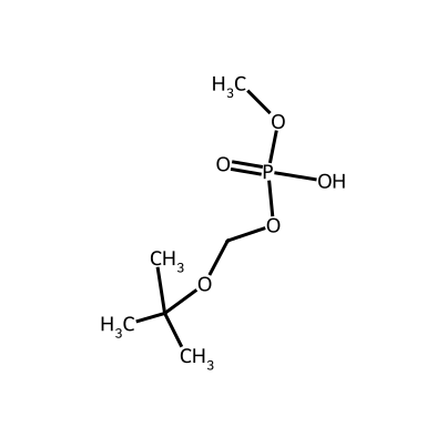 COP(=O)(O)OCOC(C)(C)C